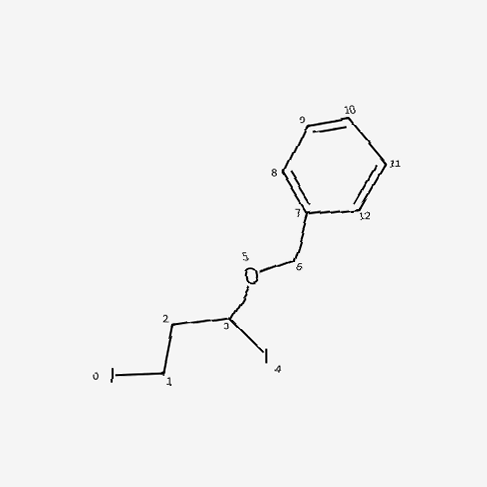 ICCC(I)OCc1ccccc1